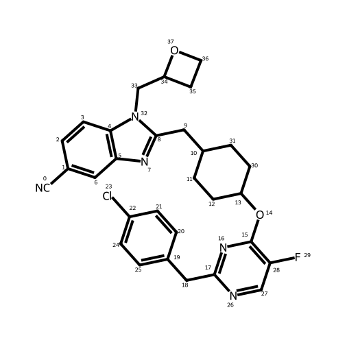 N#Cc1ccc2c(c1)nc(CC1CCC(Oc3nc(Cc4ccc(Cl)cc4)ncc3F)CC1)n2CC1CCO1